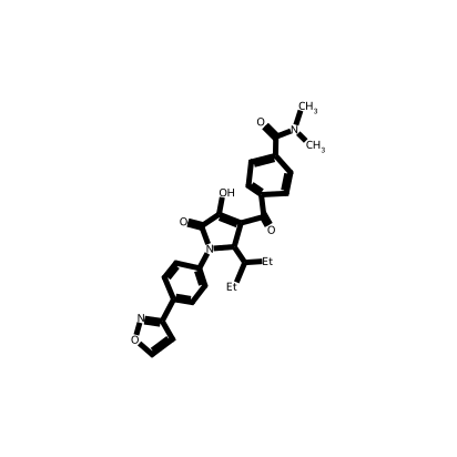 CCC(CC)C1C(C(=O)c2ccc(C(=O)N(C)C)cc2)=C(O)C(=O)N1c1ccc(-c2ccon2)cc1